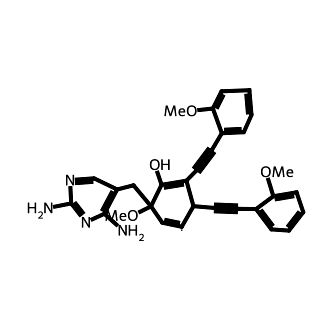 COc1ccccc1C#CC1=C(O)C(Cc2cnc(N)nc2N)(OC)C=[C]C1C#Cc1ccccc1OC